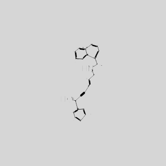 C[C@@H](NC/C=C/C#CC(O)c1ccccc1)c1cccc2ccccc12